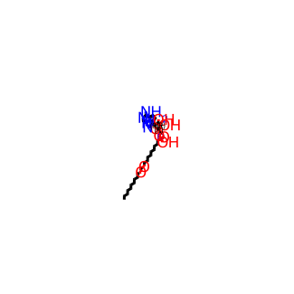 CCCCCCCCCCOCOCCCCCCCCCP(=O)(O)OC[C@H]1O[C@@](C#N)(c2ccc3c(N)ncnn23)C(O)[C@H]1O